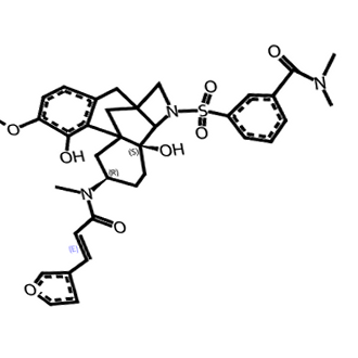 COc1ccc2c(c1O)C13C[C@H](N(C)C(=O)/C=C/c4ccoc4)CC[C@@]1(O)C1N(S(=O)(=O)c4cccc(C(=O)N(C)C)c4)CC1(C2)C3